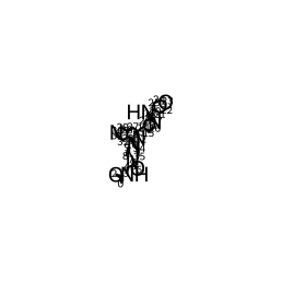 CC(=O)NCC(=O)N1CCN(c2nc(-c3ccnc(NC4CCOCC4)c3)cc3cnccc23)CC1